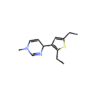 CCc1cc(C2C=CN(C)C=N2)c(CC)s1